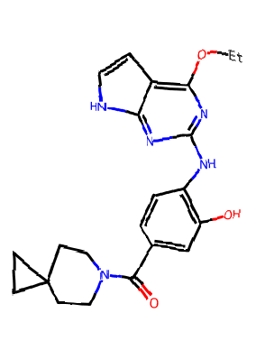 CCOc1nc(Nc2ccc(C(=O)N3CCC4(CC3)CC4)cc2O)nc2[nH]ccc12